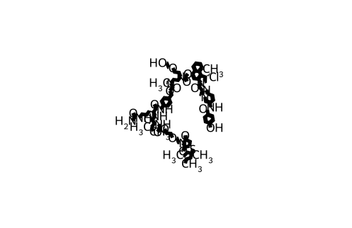 CCCC(C)(CCC)SC1CC(=O)N(CCOCCOC(=O)N[C@H](C(=O)N[C@@H](CCCNC(N)=O)C(=O)Nc2ccc(COC(=O)N(C)CCN(CCOCCO)C(=O)Oc3cc4c(c5c(C)cccc35)[C@H](CCl)CN4C(=O)c3cn4cc(NC(=O)c5ccc(O)cc5)ccc4n3)cc2)C(C)C)C1=O